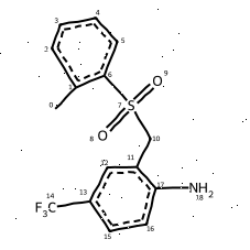 Cc1ccccc1S(=O)(=O)Cc1cc(C(F)(F)F)ccc1N